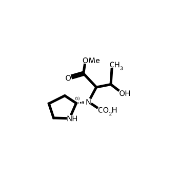 COC(=O)C(C(C)O)N(C(=O)O)[C@H]1CCCN1